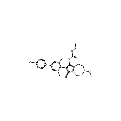 CCOC(=O)Oc1c(-c2c(C)cc(-c3ccc(Cl)cc3)cc2C)c(=O)n2n1CCN(OC)CC2